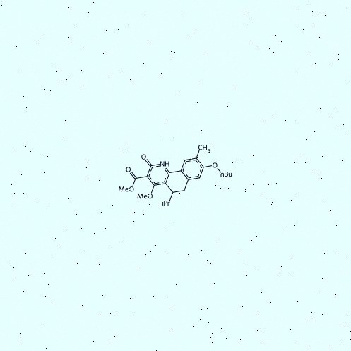 CCCCOc1cc2c(cc1C)-c1[nH]c(=O)c(C(=O)OC)c(OC)c1C(C(C)C)C2